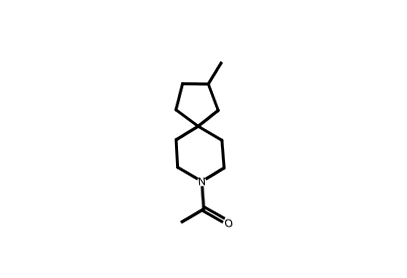 CC(=O)N1CCC2(CCC(C)C2)CC1